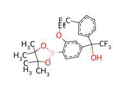 CCOc1cc(C(O)(c2cccc(C(F)(F)F)c2)C(F)(F)F)ccc1B1OC(C)(C)C(C)(C)O1